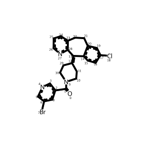 O=C(c1cncc(Br)c1)N1CCC(=C2c3ccc(Cl)cc3CCc3cccnc32)CC1